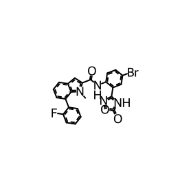 Cn1c(C(=O)Nc2ccc(Br)cc2-c2noc(=O)[nH]2)cc2cccc(-c3ccccc3F)c21